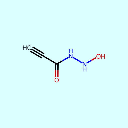 C#CC(=O)NNO